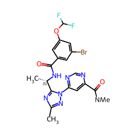 CNC(=O)c1cc(-n2nc(C)nc2[C@H](C)NC(=O)c2cc(Br)cc(OC(F)F)c2)ncn1